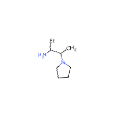 CCC(N)C(C)N1CCCC1